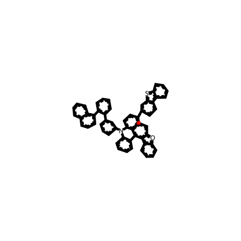 c1cc(-c2ccccc2-c2cccc3ccccc23)cc(N(c2ccc(-c3ccc4c(c3)sc3ccccc34)cc2)c2ccccc2-c2cccc3oc4ccccc4c23)c1